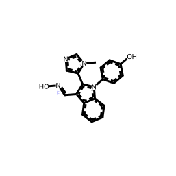 Cn1cncc1-c1c(/C=N/O)c2ccccc2n1-c1ccc(O)cc1